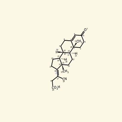 C[C@]12CCC(=O)C=C1CC[C@@H]1[C@@H]2CC[C@]2(C)/C(=C(\C#N)CC(=O)O)CC[C@@H]12